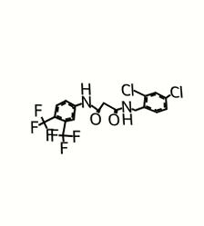 O=C(CC(=O)Nc1ccc(C(F)(F)F)c(C(F)(F)F)c1)NCc1ccc(Cl)cc1Cl